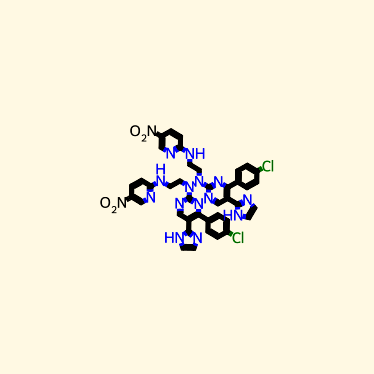 O=[N+]([O-])c1ccc(NCCN(c2ncc(-c3ncc[nH]3)c(-c3ccc(Cl)cc3)n2)N(CCNc2ccc([N+](=O)[O-])cn2)c2ncc(-c3ncc[nH]3)c(-c3ccc(Cl)cc3)n2)nc1